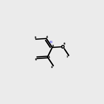 C=C(C)/C(=C\C)OC